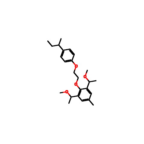 CCC(C)c1ccc(OCCOc2c(C(C)OC)cc(C)cc2C(C)OC)cc1